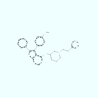 COc1ccc(-c2c(-c3ccccc3)oc3ncnc(OC4CCCN(CCc5nnn[nH]5)C4)c23)cc1